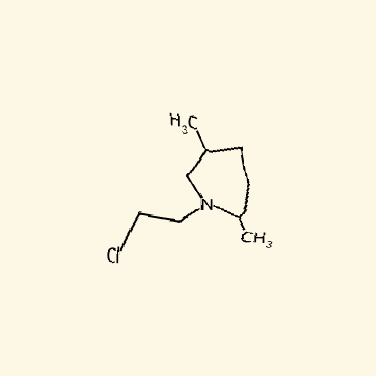 CC1CCC(C)N(CCCl)C1